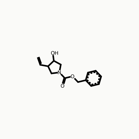 C=CC1CN(C(=O)OCc2ccccc2)CC1O